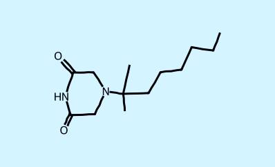 CCCCCCC(C)(C)N1CC(=O)NC(=O)C1